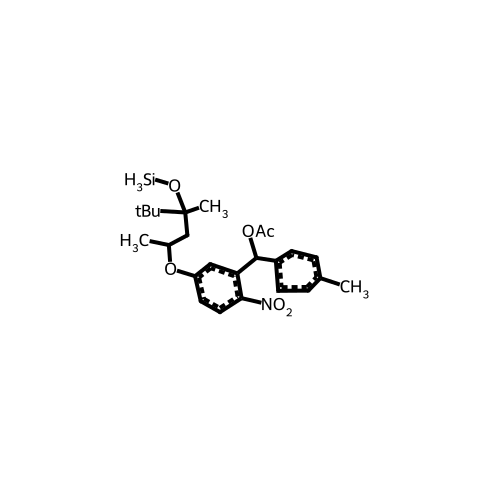 CC(=O)OC(c1ccc(C)cc1)c1cc(OC(C)CC(C)(O[SiH3])C(C)(C)C)ccc1[N+](=O)[O-]